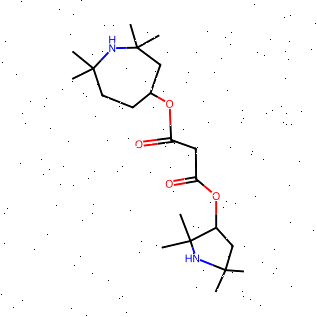 CC1(C)CCC(OC(=O)CC(=O)OC2CC(C)(C)NC2(C)C)CC(C)(C)N1